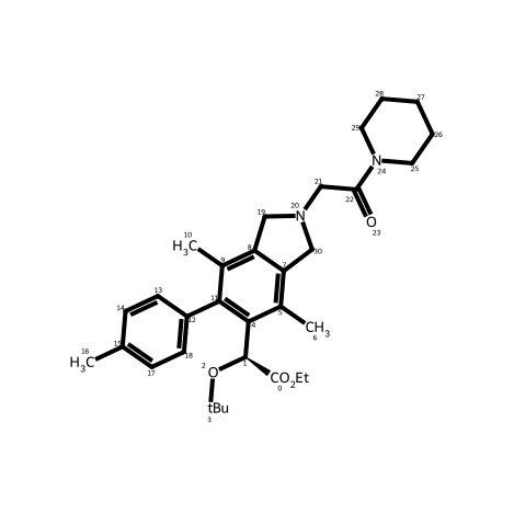 CCOC(=O)[C@@H](OC(C)(C)C)c1c(C)c2c(c(C)c1-c1ccc(C)cc1)CN(CC(=O)N1CCCCC1)C2